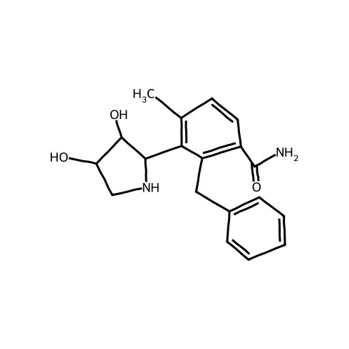 Cc1ccc(C(N)=O)c(Cc2ccccc2)c1C1NCC(O)C1O